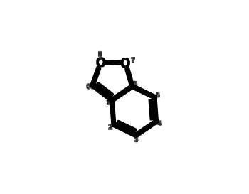 [C]1=C2C=CC=CC2OO1